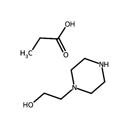 CCC(=O)O.OCCN1CCNCC1